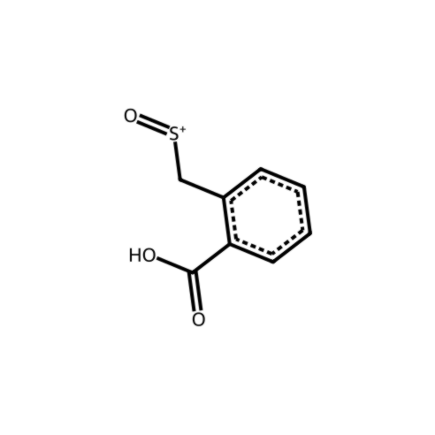 O=[S+]Cc1ccccc1C(=O)O